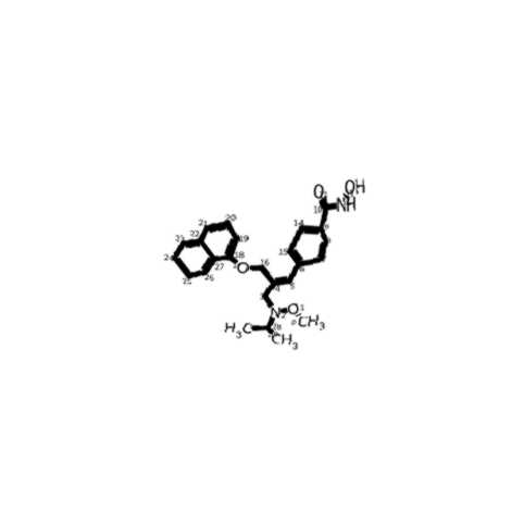 CON(C/C(=C/c1ccc(C(=O)NO)cc1)COc1cccc2ccccc12)C(C)C